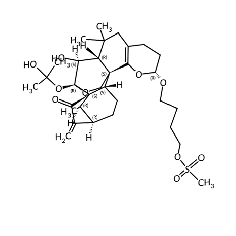 C=C1C(=O)[C@]23[C@H](C)[C@H]1CC[C@H]2[C@@]12CO[C@]3(OC(C)(C)O)[C@@H](O)[C@@H]1C(C)(C)CC1=C2O[C@@H](OCCCCOS(C)(=O)=O)CC1